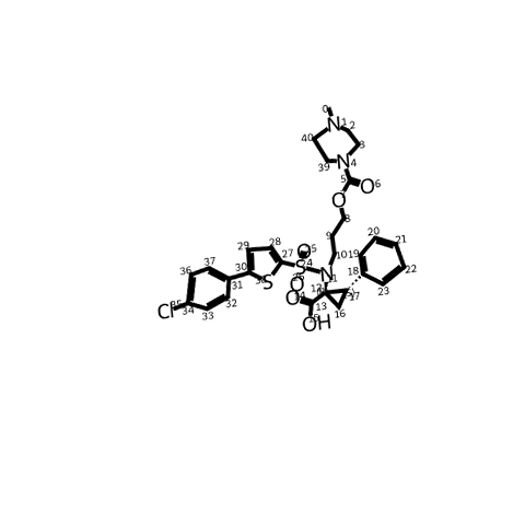 CN1CCN(C(=O)OCCCN([C@]2(C(=O)O)C[C@H]2c2ccccc2)S(=O)(=O)c2ccc(-c3ccc(Cl)cc3)s2)CC1